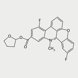 C[n+]1c2c3c(cccc3c3c(F)cc(C(=O)OC4CCCO4)cc31)Oc1ccc(F)cc1-2